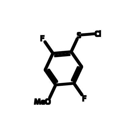 COc1cc(F)c(SCl)cc1F